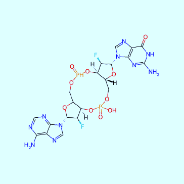 Nc1nc2c(ncn2[C@@H]2O[C@@H]3COP(=O)(O)O[C@@H]4C(CO[PH](=O)O[C@H]3[C@H]2F)O[C@@H](n2cnc3c(N)ncnc32)[C@@H]4F)c(=O)[nH]1